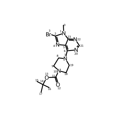 Cn1c(Br)nc2c(N3CCN(C(=O)OC(C)(C)C)CC3)ncnc21